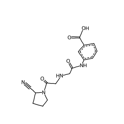 N#CC1CCCN1C(=O)CNCC(=O)Nc1cccc(C(=O)O)c1